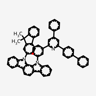 CC1(C)c2ccccc2-c2ccc(-n3c4ccccc4c4ccc5c6ccccc6n(-c6cccc(-c7cc(-c8ccccc8)cc(-c8ccc(-c9ccccc9)cc8)n7)c6)c5c43)cc21